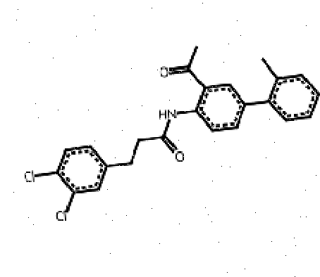 CC(=O)c1cc(-c2ccccc2C)ccc1NC(=O)CCc1ccc(Cl)c(Cl)c1